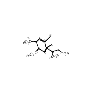 CCOC(=O)C(CC(=O)O)C1(C)CC(C(=O)O)C(C(=O)O)C=C1C